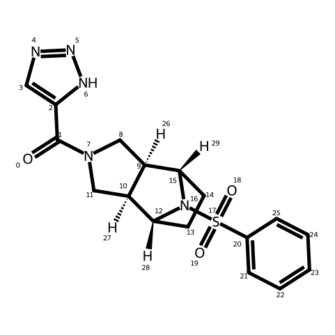 O=C(c1cnn[nH]1)N1C[C@@H]2[C@H](C1)[C@H]1CC[C@@H]2N1S(=O)(=O)c1ccccc1